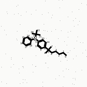 CCCCCC(C)(C)c1ccc(N(c2ccccc2)C(C)(C)C)cc1